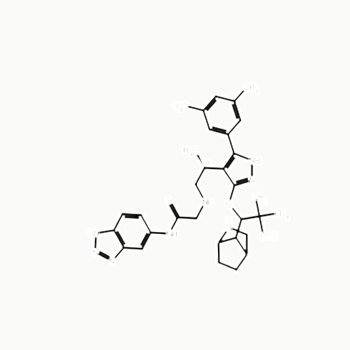 Cc1cc(C)cc(-c2[nH]nc(OC(C3C4CCC3NC4)C(C)(C)C=O)c2[C@H](C)CNCC(=O)Nc2ccc3[nH]nnc3c2)c1